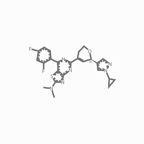 CN(C)c1nc2nc(C3=C[C@H](c4cnn(C5CC5)c4)OCC3)nc(-c3ccc(F)cc3F)c2s1